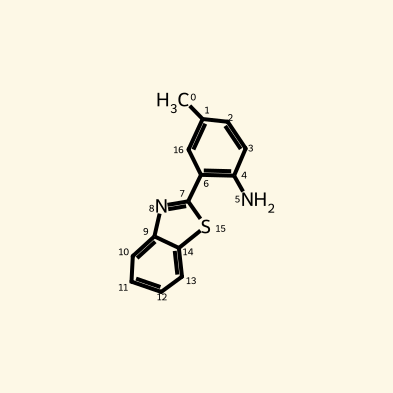 Cc1ccc(N)c(-c2nc3ccccc3s2)c1